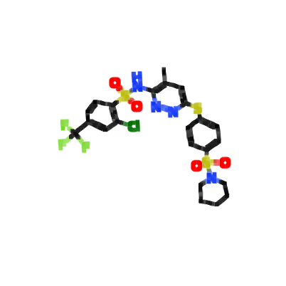 Cc1cc(Sc2ccc(S(=O)(=O)N3CCCCC3)cc2)nnc1NS(=O)(=O)c1ccc(C(F)(F)F)cc1Cl